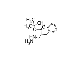 CC(C)(C)OC(=O)C(CNN)Cc1ccccc1